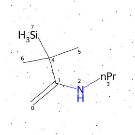 C=C(NCCC)C(C)(C)[SiH3]